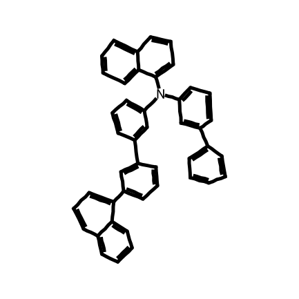 c1ccc(-c2cccc(N(c3cccc(-c4cccc(-c5cccc6ccccc56)c4)c3)c3cccc4ccccc34)c2)cc1